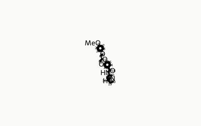 COc1ccc(OC[C@@H]2COc3cc(C(=O)N[C@@H]4C[C@@H]5CCN(C5)C4)ccc3O2)cc1